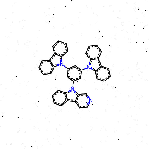 c1ccc2c(c1)c1ccccc1n2-c1cc(-n2c3ccccc3c3ccccc32)cc(-n2c3ccccc3c3ccncc32)c1